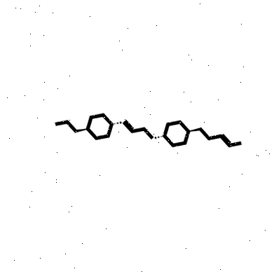 C/C=C/CC[C@H]1CC[C@H](CC/C=C/[C@H]2CC[C@H](CCC)CC2)CC1